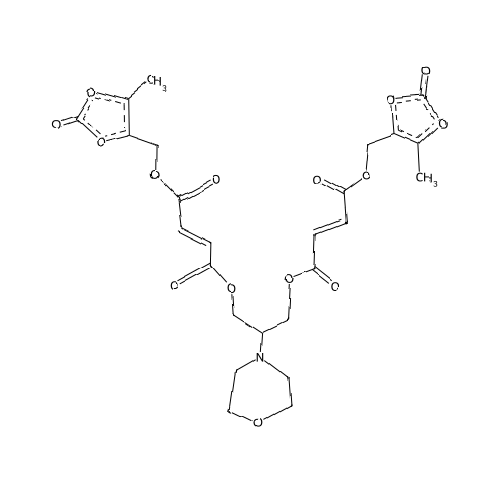 Cc1oc(=O)oc1COC(=O)/C=C/C(=O)OCC(COC(=O)/C=C/C(=O)OCc1oc(=O)oc1C)N1CCOCC1